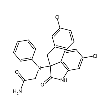 NC(=O)CN(c1ccccc1)C1(Cc2cccc(Cl)c2)C(=O)Nc2cc(Cl)ccc21